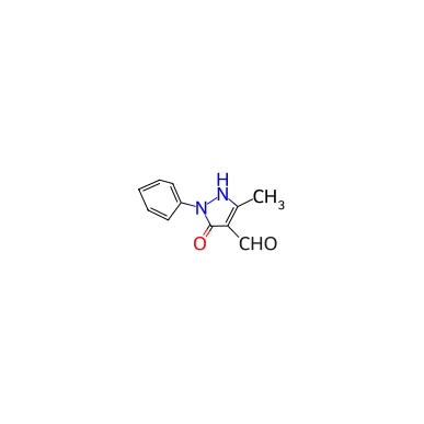 Cc1[nH]n(-c2ccccc2)c(=O)c1C=O